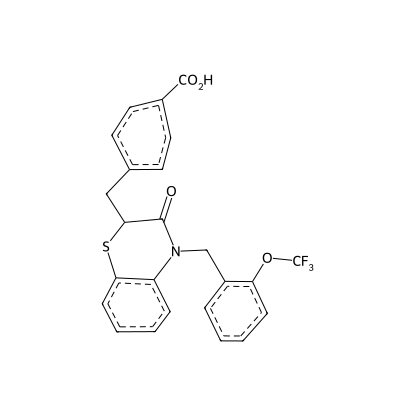 O=C(O)c1ccc(CC2Sc3ccccc3N(Cc3ccccc3OC(F)(F)F)C2=O)cc1